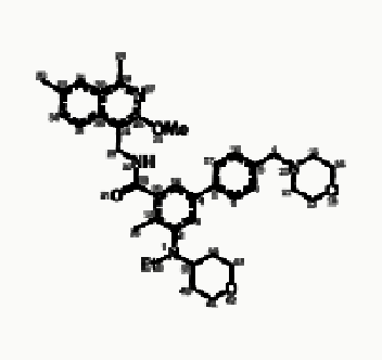 CCN(c1cc(-c2ccc(CN3CCOCC3)cc2)cc(C(=O)NCc2c(OC)nc(C)c3cc(C)ccc23)c1C)C1CCOCC1